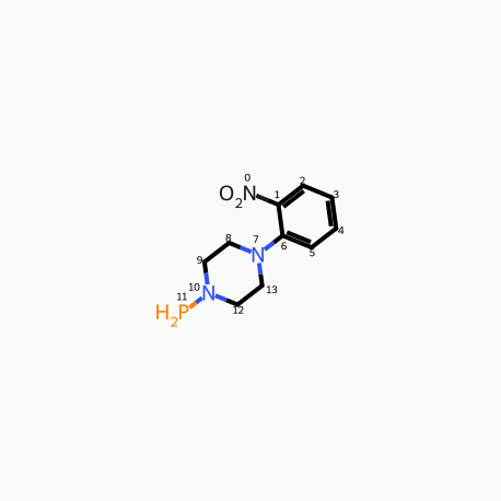 O=[N+]([O-])c1ccccc1N1CCN(P)CC1